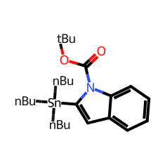 CCC[CH2][Sn]([CH2]CCC)([CH2]CCC)[c]1cc2ccccc2n1C(=O)OC(C)(C)C